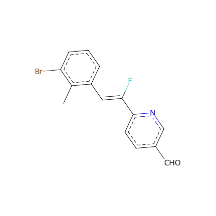 Cc1c(Br)cccc1C=C(F)c1ccc(C=O)cn1